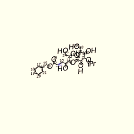 CC(C)OC1C(O)[C@H](O[C@@H](C(O)/C=C/C(=O)OCc2ccccc2)C(O)CO)OC(CO)[C@@H]1O